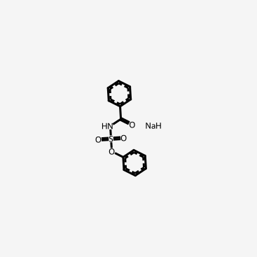 O=C(NS(=O)(=O)Oc1ccccc1)c1ccccc1.[NaH]